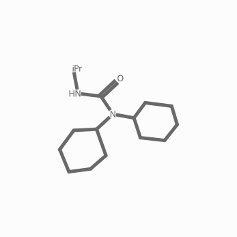 CC(C)NC(=O)N(C1CCCCC1)C1CCCCC1